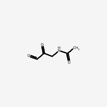 CC(=O)NCC(=O)C=O